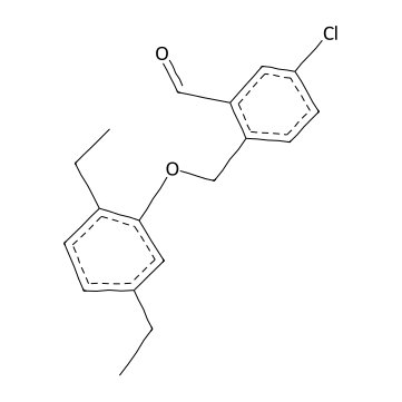 CCc1ccc(CC)c(OCc2ccc(Cl)cc2C=O)c1